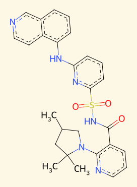 CC1CN(c2ncccc2C(=O)NS(=O)(=O)c2cccc(Nc3cccc4cnccc34)n2)C(C)(C)C1